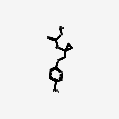 CC(C)(C)OC(=O)NC1(COc2ccc(N)cn2)CC1